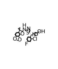 O=C(Nc1ncc([C@@H](c2ccc(F)cc2Cl)N2C=C(O)CC2)s1)C1(c2ccc3c(c2)OCO3)CC1